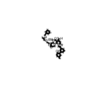 Cc1ccc(O)c(-c2cccc(-c3cn4c(N5CCC(C)(OCCOCC(C)OCc6ccccc6)CC5)c(C(OC(C)(C)C)C(=O)O)c(C)cc4n3)c2)c1